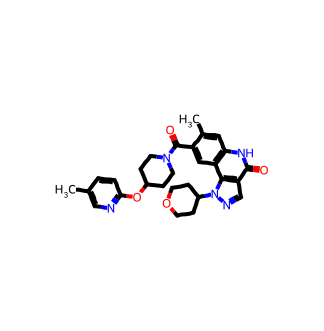 Cc1ccc(OC2CCN(C(=O)c3cc4c(cc3C)[nH]c(=O)c3cnn(C5CCOCC5)c34)CC2)nc1